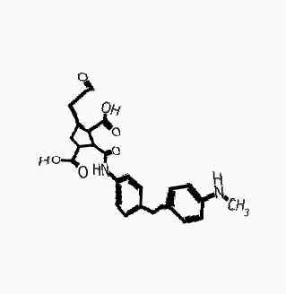 CNc1ccc(Cc2ccc(NC(=O)C3C(C(=O)O)CC(CC=O)C3C(=O)O)cc2)cc1